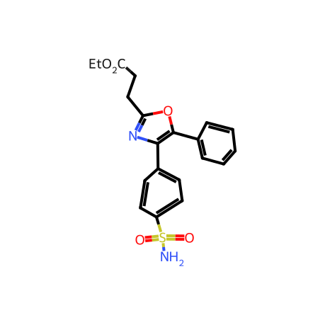 CCOC(=O)CCc1nc(-c2ccc(S(N)(=O)=O)cc2)c(-c2ccccc2)o1